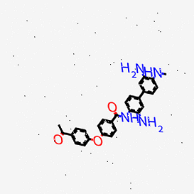 CNc1ccc(-c2ccc(NC(=O)c3ccc(Oc4ccc(C(C)=O)cc4)cc3)c(N)c2)cc1N